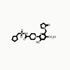 CCOC(=O)c1cc(C#N)c(N2CCC(C(=O)NS(=O)(=O)CC3CCCC3)CC2)nc1CN1CCCC1=O